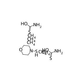 C.C.C.C.C.NC(O)=S.NC(O)=S.SN1CCOCC1